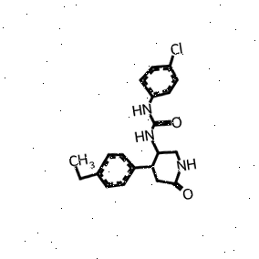 CCc1ccc(C2CC(=O)NCC2NC(=O)Nc2ccc(Cl)cc2)cc1